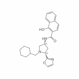 O=C(N[C@H]1C[C@@H](c2ncco2)N(CC2CCCCC2)C1)c1ccc2ccccc2c1O